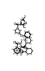 CNC(=O)C1CCCCC1C(=O)N1CCc2cccc(OC3CCN(C(=O)c4sc(C)nc4C)C3)c2[C@H]1CN1C(=O)c2ccccc2C1=O